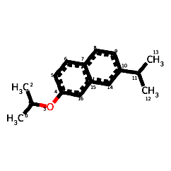 CC(C)Oc1ccc2ccc(C(C)C)cc2c1